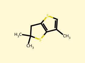 Cc1csc2c1SC(C)(C)C2